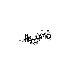 CC(C)(Nc1ncc(-c2cc(S(=O)(=O)NN)ccc2F)nn1)c1ncccc1F